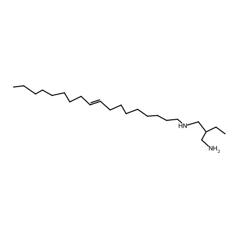 CCCCCCCCC=CCCCCCCCCNCC(CC)CN